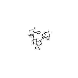 CCNC(=O)Nc1cc2c(B3OCC(C)(C)CO3)ccc(Cl)c2cn1